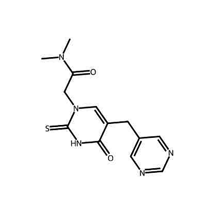 CN(C)C(=O)Cn1cc(Cc2cncnc2)c(=O)[nH]c1=S